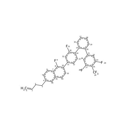 C=CCCc1ccc2c(F)c(-c3ccc(-c4ccccc4-c4cc(F)c(C(F)(F)F)c(F)c4)c(F)c3)ccc2c1